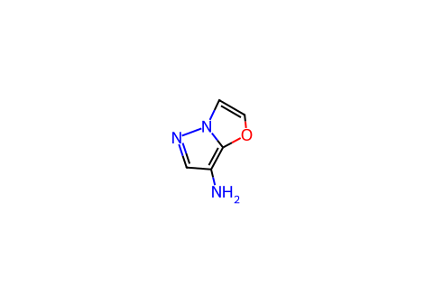 Nc1cnn2ccoc12